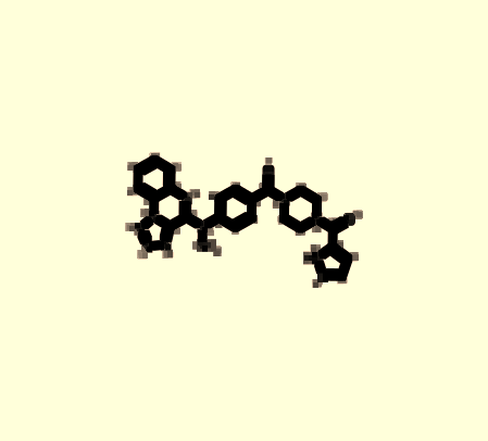 NN(c1ccc(C(=O)N2CCN(C(=O)c3ccn[nH]3)CC2)cc1)c1nc2ccccc2n2nnnc12